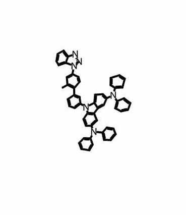 Cc1cc(-n2nnc3ccccc32)ccc1-c1cccc(-n2c3ccc(N(c4ccccc4)c4ccccc4)cc3c3cc(N(c4ccccc4)c4ccccc4)ccc32)c1